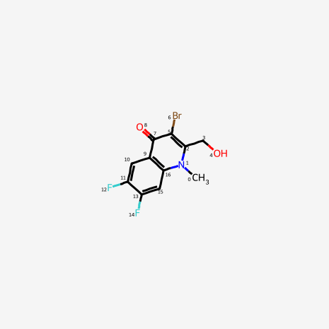 Cn1c(CO)c(Br)c(=O)c2cc(F)c(F)cc21